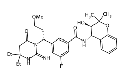 CCC1(CC)CC(=O)N([C@H](CCOC)c2cc(F)cc(C(=O)N[C@H]3c4ccccc4OC(C)(C)[C@@H]3O)c2)C(=N)N1